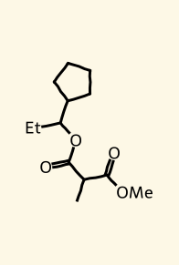 CCC(OC(=O)C(C)C(=O)OC)C1CCCC1